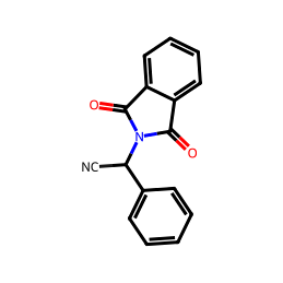 N#CC(c1ccccc1)N1C(=O)c2ccccc2C1=O